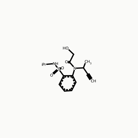 C#CC(C)N(C(=O)CO)c1ccccc1S(=O)(=O)NC(C)C